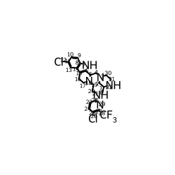 CC1CN(CC2c3[nH]c4ccc(Cl)cc4c3CCN2CCNc2ccc(Cl)c(C(F)(F)F)n2)CCN1